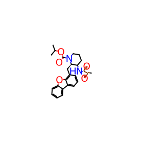 CC(C)OC(=O)N1CCC[C@@H](NS(C)(=O)=O)[C@H]1Cc1cccc2c1oc1ccccc12